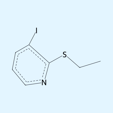 CCSc1ncccc1I